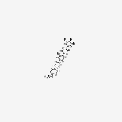 C=CC1CCC(C2CCC(c3ccc(C4CCC(c5cc(F)c(F)c(F)c5)CC4)c(F)c3)CC2)CC1